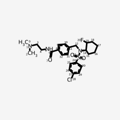 CN(C)CCNC(=O)c1ccc(CN(C2CCCCC2F)S(=O)(=O)c2ccc(Cl)cc2)cc1